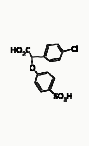 O=C(O)C(Oc1ccc(S(=O)(=O)O)cc1)c1ccc(Cl)cc1